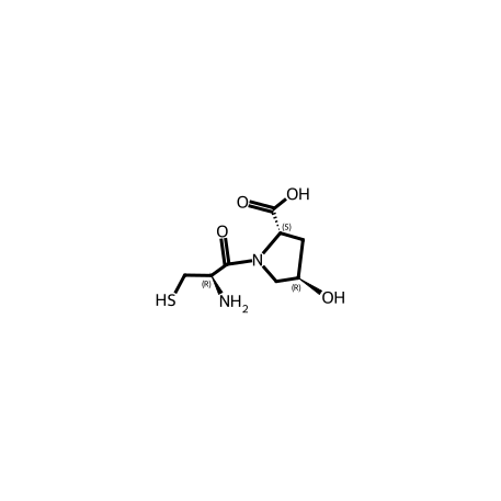 N[C@@H](CS)C(=O)N1C[C@H](O)C[C@H]1C(=O)O